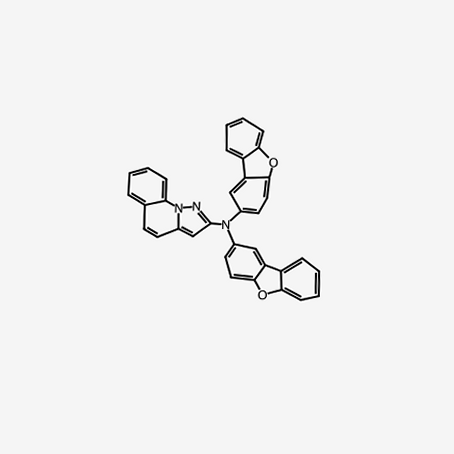 c1ccc2c(c1)ccc1cc(N(c3ccc4oc5ccccc5c4c3)c3ccc4oc5ccccc5c4c3)nn12